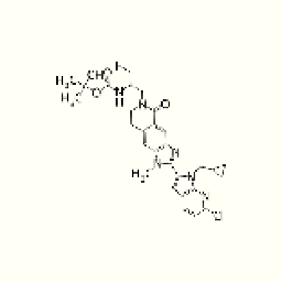 Cn1c(-c2cc3ccc(Cl)nc3n2CC2CC2)nc2cc3c(cc21)CCN(CC(CF)NC(=O)OC(C)(C)C)C3=O